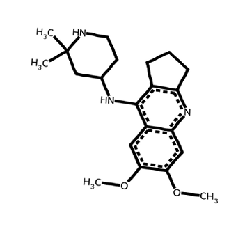 COc1cc2nc3c(c(NC4CCNC(C)(C)C4)c2cc1OC)CCC3